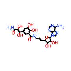 NC(=O)C(O)=C(O)c1cc(O)c(O)c(C(=O)NCC=CC2OC(n3cnc4c(N)ncnc43)C(O)C2O)c1